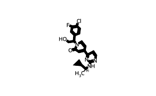 C[C@@H](Nc1nccc(-c2ccn(C(CO)c3ccc(Cl)c(F)c3)c(=O)c2)n1)C1CC1